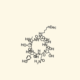 CCCCCCCCCCCCCCCC(=O)NC1CC(O)C(O)NC(=O)C2C(O)C(CO)CN2C(=O)C(CCC(N)=O)NC(=O)C(C(O)C(O)c2ccc(O)cc2)NC(=O)C2CC(O)CN2C(=O)C(C(C)O)NC1=O